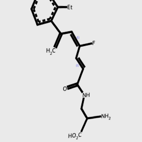 C=C(/C=C(F)\C=C\C(=O)NCC(N)C(=O)O)c1ccccc1CC